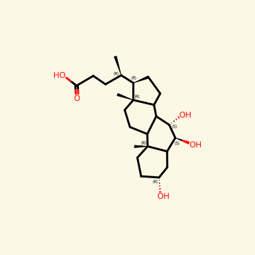 C[C@H](CCC(=O)O)[C@H]1CCC2C3C(CC[C@@]21C)[C@@]1(C)CC[C@@H](O)CC1[C@H](O)[C@H]3O